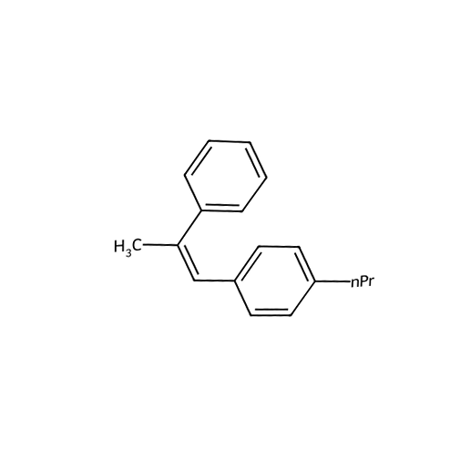 CCCc1ccc(C=C(C)c2ccccc2)cc1